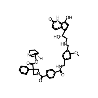 COc1cc(CNC(=O)c2ccc(C(=O)N3CC(C(=O)O[C@H]4CN5CCC4CC5)(c4ccccc4)C3)cc2)ccc1CNC[C@H](O)c1ccc(O)c2[nH]c(=O)ccc12